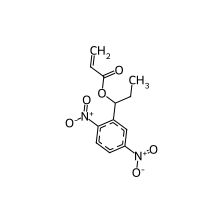 C=CC(=O)OC(CC)c1cc([N+](=O)[O-])ccc1[N+](=O)[O-]